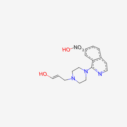 O=[N+]([O-])O.OC=CCN1CCN(c2nccc3ccccc23)CC1